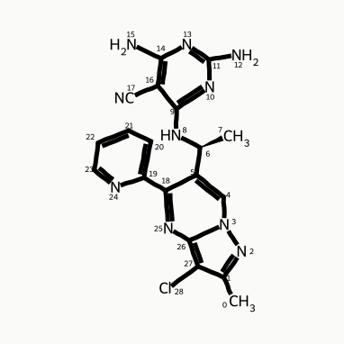 Cc1nn2cc([C@H](C)Nc3nc(N)nc(N)c3C#N)c(-c3ccccn3)nc2c1Cl